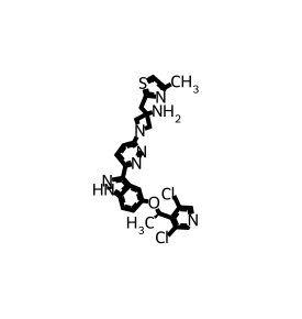 Cc1csc(CC2(N)CN(c3ccc(-c4n[nH]c5ccc(O[C@H](C)c6c(Cl)cncc6Cl)cc45)nn3)C2)n1